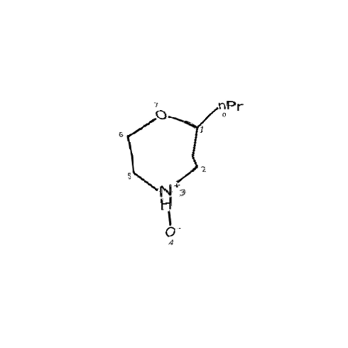 CCCC1C[NH+]([O-])CCO1